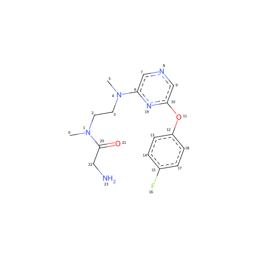 CN(CCN(C)c1cncc(Oc2ccc(F)cc2)n1)C(=O)CN